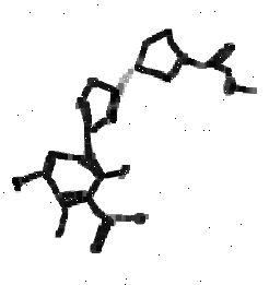 COC(=O)N1CC[C@@H](c2nc(-c3cc(F)c(C)c([N+](=O)[O-])c3F)no2)C1